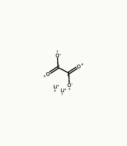 O=C([O-])C(=O)[O-].[Li+].[Li+]